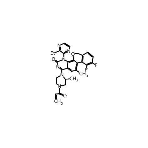 C=CC(=O)N1CCN(c2nc(=O)n(-c3nccnc3CC)c3c4c(c(C)cc23)-c2c(ccc(F)c2F)CO4)[C@@H](C)C1